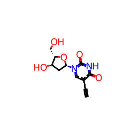 C#Cc1cn([C@H]2C[C@@H](O)[C@H](CO)O2)c(=O)[nH]c1=O